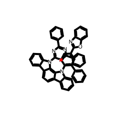 c1ccc(-c2nc(-c3ccccc3)nc(-n3c4ccccc4c4ccc5c6ccccc6n(-c6ccc(-c7nc8ccccc8o7)cc6-c6ccccc6)c5c43)n2)cc1